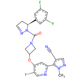 Cn1ncc(C#N)c1-c1cc(OC2CN(C(=O)N3N=CC[C@H]3c3cc(F)cc(F)c3)C2)c(F)cn1